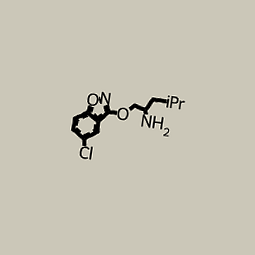 CC(C)CC(N)COc1noc2ccc(Cl)cc12